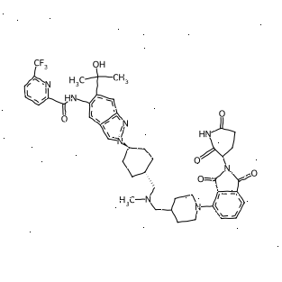 CN(CC1CCN(c2cccc3c2C(=O)N(C2CCC(=O)NC2=O)C3=O)CC1)C[C@H]1CC[C@H](n2cc3cc(NC(=O)c4cccc(C(F)(F)F)n4)c(C(C)(C)O)cc3n2)CC1